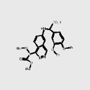 CCOc1cc(C(Nc2ccc3c(N(OC(C)(C)C)C(=O)OC(C)(C)C)nncc3c2)C(=O)O)ccc1OC(C)C